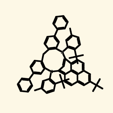 Cc1ccc(C(C)(C)C)c(N2c3cc(-c4ccccc4)ccc3Cc3ccc(-c4ccccc4)cc3N(c3cc(C)ccc3C(C)(C)C)c3cc2c2ccc4cc(C(C)(C)C)cc5ccc3c2c45)c1